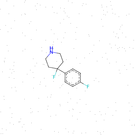 Fc1ccc(C2(F)CCNCC2)cc1